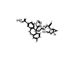 C=C(NC(C)C)c1ccc2c(c1)CCc1cc(F)ccc1C2(CCNCC(=C)N1C(C#N)C[C@@H]2CC21)c1nnn[nH]1